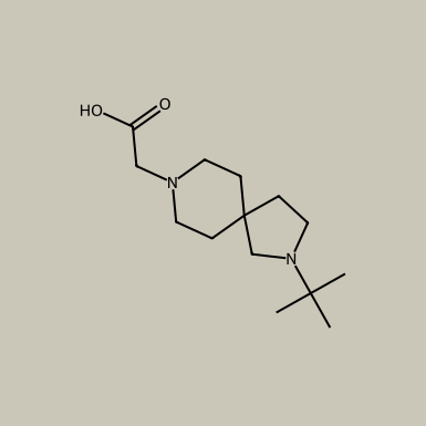 CC(C)(C)N1CCC2(CCN(CC(=O)O)CC2)C1